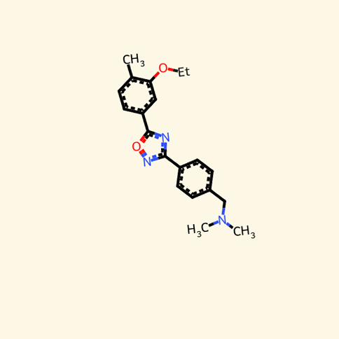 CCOc1cc(-c2nc(-c3ccc(CN(C)C)cc3)no2)ccc1C